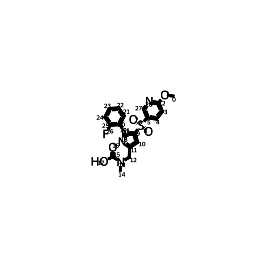 COc1ccc(S(=O)(=O)c2cc(CN(C)C(=O)O)nn2-c2ccccc2F)cn1